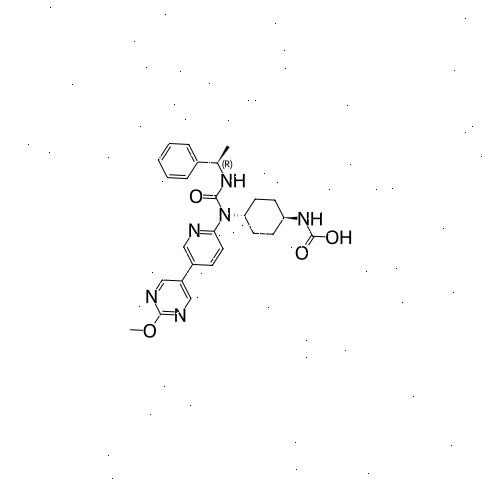 COc1ncc(-c2ccc(N(C(=O)N[C@H](C)c3ccccc3)[C@H]3CC[C@H](NC(=O)O)CC3)nc2)cn1